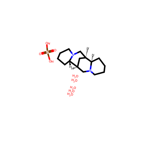 C1CCN2C[C@@H]3C[C@@H](CN4CCCC[C@@H]34)[C@H]2C1.O.O.O.O.O.O=S(=O)(O)O